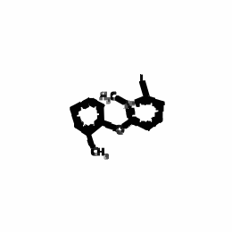 Cc1ccccc1Oc1cccc(I)[n+]1C